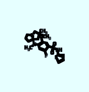 CN(c1cc(F)c(S(=O)(=O)Nc2nccs2)cc1Cl)[C@]12CCCN1CC(C)(C)C2